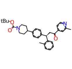 Cc1cc(C(=O)C[C@H](c2ccc(C3CCN(C(=O)OC(C)(C)C)CC3)cc2)c2ccccc2C)ccn1